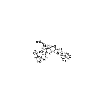 Cc1c(-c2cc3cc(NC(=O)O[C@H]4CO[C@@H]5COC[C@H]45)ncc3c(NC(=O)OC(C)(C)C)c2F)cnc2c1N(C(=O)OC(C)(C)C)CCO2